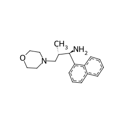 C[C@@H](CN1CCOCC1)[C@@H](N)c1cccc2ccccc12